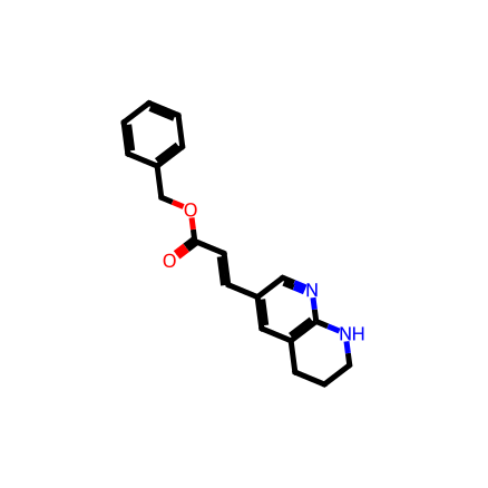 O=C(/C=C/c1cnc2c(c1)CCCN2)OCc1ccccc1